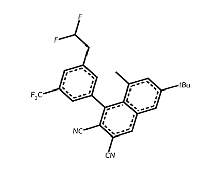 Cc1cc(C(C)(C)C)cc2cc(C#N)c(C#N)c(-c3cc(CC(F)F)cc(C(F)(F)F)c3)c12